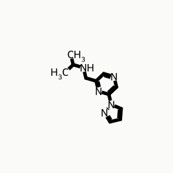 CC(C)NCc1cncc(-n2cccn2)n1